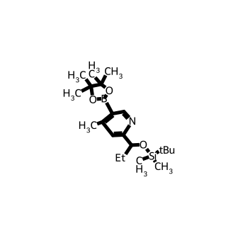 CCC(O[Si](C)(C)C(C)(C)C)c1cc(C)c(B2OC(C)(C)C(C)(C)O2)cn1